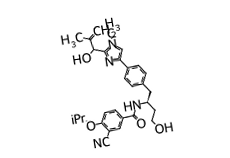 C=C(C)C(O)c1nc(-c2ccc(C[C@@H](CCO)NC(=O)c3ccc(OC(C)C)c(C#N)c3)cc2)cn1C